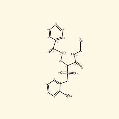 COc1ccccc1CS(=O)(=O)C(CNC(=O)c1ccccc1)C(=O)NCC#N